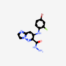 NNC(=O)c1nn2ccnc2cc1Nc1ccc(Br)cc1F